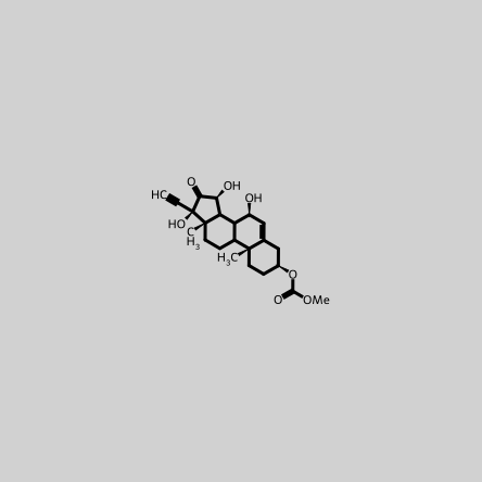 C#C[C@]1(O)C(=O)[C@@H](O)C2C3C(CC[C@@]21C)[C@@]1(C)CC[C@H](OC(=O)OC)CC1=C[C@@H]3O